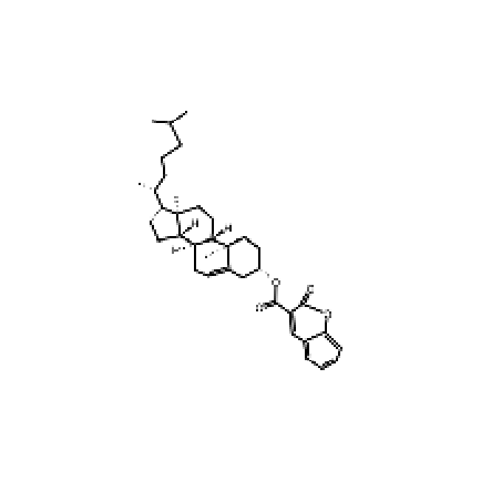 CC(C)CCC[C@@H](C)[C@H]1CC[C@H]2[C@@H]3CC=C4C[C@@H](OC(=O)c5cc6ccccc6oc5=O)CC[C@]4(C)[C@H]3CC[C@]12C